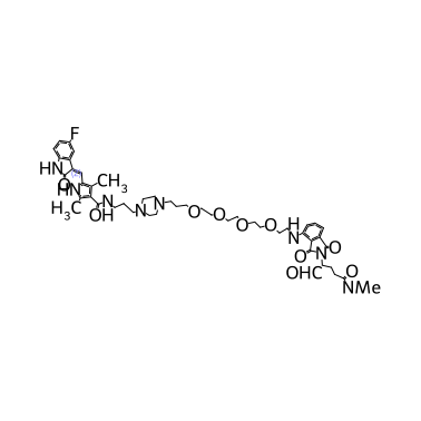 CNC(=O)CCC(C=O)N1C(=O)c2cccc(NCCOCCOCCOCCOCCCN3CCN(CCCNC(=O)c4c(C)[nH]c(/C=C5\C(=O)Nc6ccc(F)cc65)c4C)CC3)c2C1=O